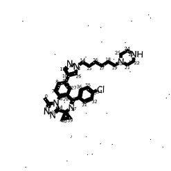 Cc1nnc2n1-c1ccc(-c3cnn(CCCCCCN4CCNCC4)c3)cc1C(c1ccc(Cl)cc1)=NC21CC1